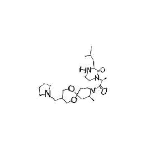 CC(C)C[C@@H]1NCCN([C@@H](C)C(=O)N2CCC3(C[C@@H]2C)OCC(CN2CCCC2)CO3)C1=O